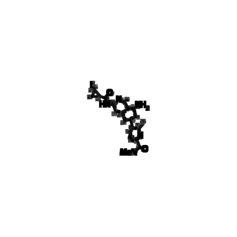 CNC(=O)c1ncc(-c2cc(N)c3cnc(NC(=O)C4CC4F)cc3c2)c(C)n1